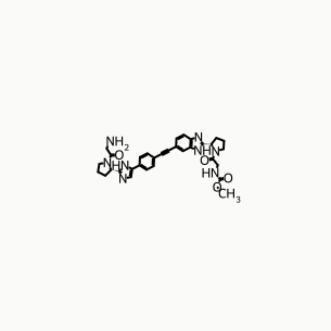 COC(=O)NCC(=O)N1CCC[C@H]1c1nc2ccc(C#Cc3ccc(-c4cnc([C@@H]5CCCN5C(=O)CN)[nH]4)cc3)cc2[nH]1